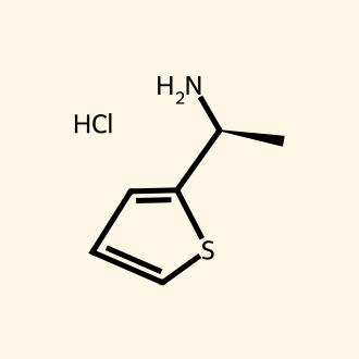 C[C@H](N)c1cccs1.Cl